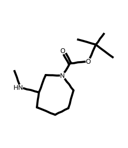 CNC1CCCCN(C(=O)OC(C)(C)C)C1